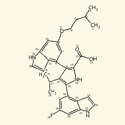 CC(C)CCOc1cc(-c2c(C(=O)O)[nH]c(-c3cc(F)cc4[nH]ccc34)c2C(C)C)c2cc[nH]c2c1